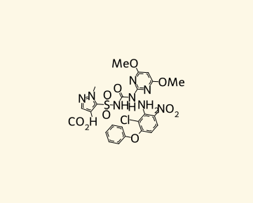 COc1cc(OC)nc(NC(=O)NS(=O)(=O)c2c(C(=O)O)cnn2C)n1.Nc1c([N+](=O)[O-])ccc(Oc2ccccc2)c1Cl